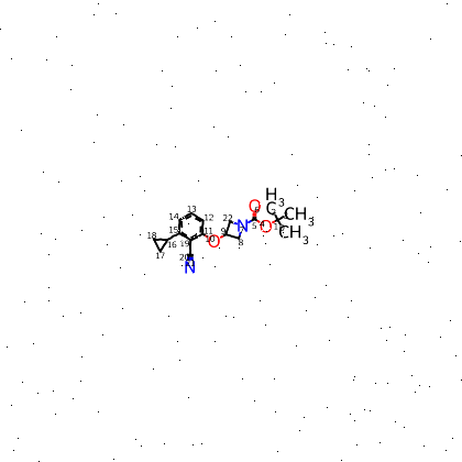 CC(C)(C)OC(=O)N1CC(Oc2cccc(C3CC3)c2C#N)C1